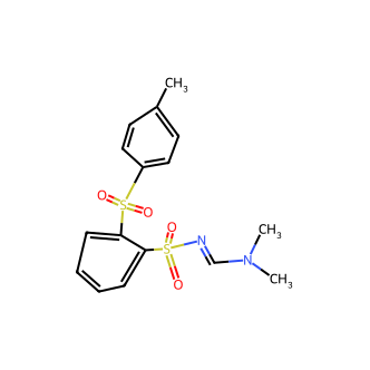 Cc1ccc(S(=O)(=O)c2ccccc2S(=O)(=O)/N=C/N(C)C)cc1